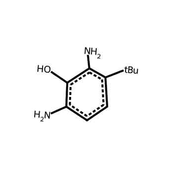 CC(C)(C)c1ccc(N)c(O)c1N